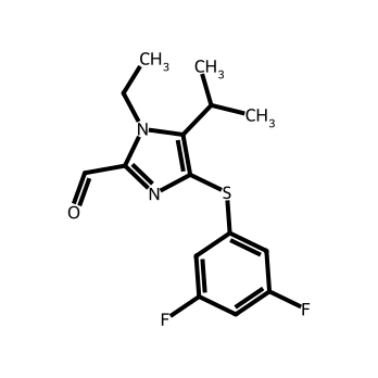 CCn1c(C=O)nc(Sc2cc(F)cc(F)c2)c1C(C)C